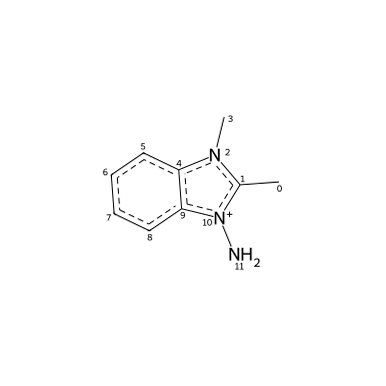 Cc1n(C)c2ccccc2[n+]1N